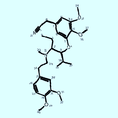 CCC(C(Oc1cc(CC#N)cc(OC)c1OC)C(C)C)N(C)CCc1ccc(OC)c(OC)c1